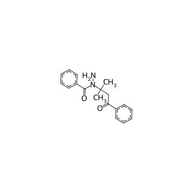 CC(C)(CC(=O)c1ccccc1)N(N)C(=O)c1ccccc1